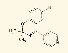 CC1(C)N=C(c2ccncc2)c2cc(Br)ccc2O1